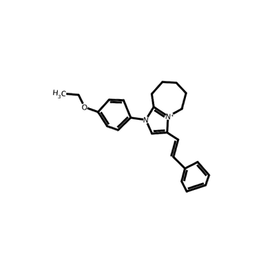 CCOc1ccc(-n2cc(/C=C/c3ccccc3)[n+]3c2CCCCC3)cc1